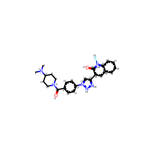 CN(C)C1CCN(C(=O)c2ccc(-n3cc(-c4cc5ccccc5n(F)c4=O)nn3)cc2)CC1